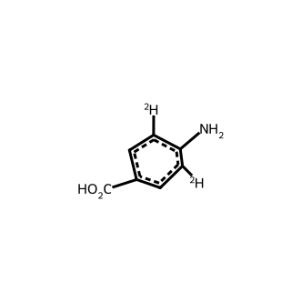 [2H]c1cc(C(=O)O)cc([2H])c1N